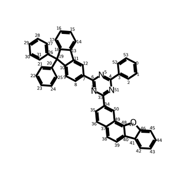 c1ccc(-c2nc(-c3ccc4c(c3)-c3ccccc3C4(c3ccccc3)c3ccccc3)nc(-c3ccc4ccc5c6ccccc6oc5c4c3)n2)cc1